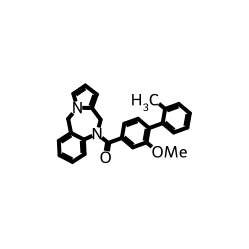 COc1cc(C(=O)N2Cc3cccn3Cc3ccccc32)ccc1-c1ccccc1C